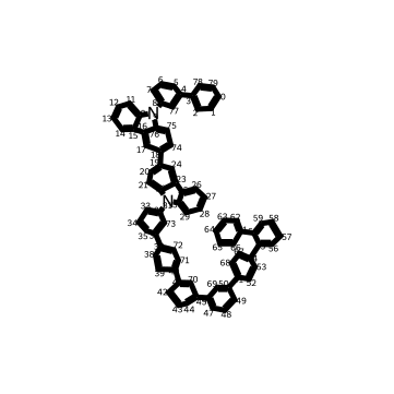 c1ccc(-c2cccc(-n3c4ccccc4c4cc(-c5ccc6c(c5)c5ccccc5n6-c5cccc(-c6ccc(-c7cccc(-c8cccc(-c9ccc(-c%10ccccc%10-c%10ccccc%10)cc9)c8)c7)cc6)c5)ccc43)c2)cc1